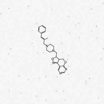 C/C(=C\c1ccccc1)CN1CCN(CC2ON=C3c4cncnc4OCC32)CC1